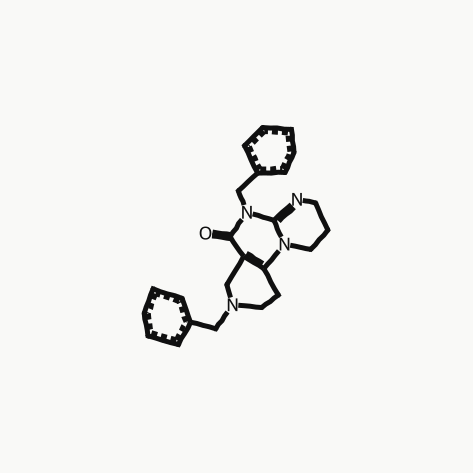 O=C1C2=C(CCN(Cc3ccccc3)C2)N2CCCN=C2N1Cc1ccccc1